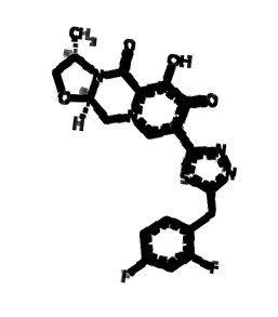 C[C@H]1CO[C@@H]2Cn3cc(-c4nnc(Cc5ccc(F)cc5F)s4)c(=O)c(O)c3C(=O)N12